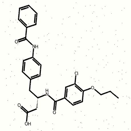 CCCOc1ccc(C(=O)N[C@H](CC(=O)O)Cc2ccc(NC(=O)c3ccccc3)cc2)cc1Cl